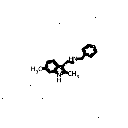 Cc1ccc2c(CCNCc3ccccc3)c(C)[nH]c2c1